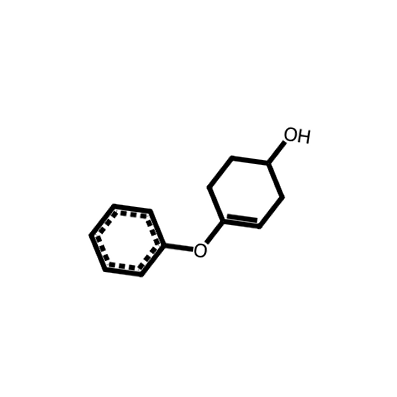 OC1CC=C(Oc2ccccc2)CC1